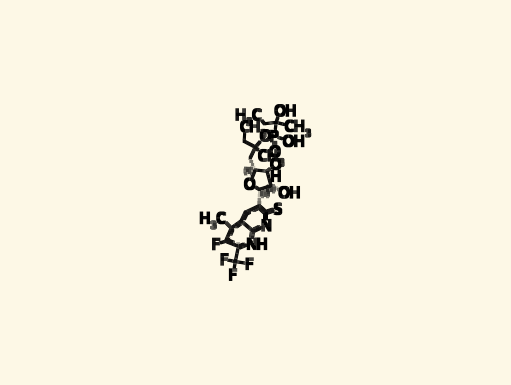 CCC(C)(C[C@H]1O[C@@H](c2cc3c(C)c(F)c(C(F)(F)F)[nH]c-3nc2=S)[C@@H](O)C1O)OP(=O)(O)C(C)(O)CC